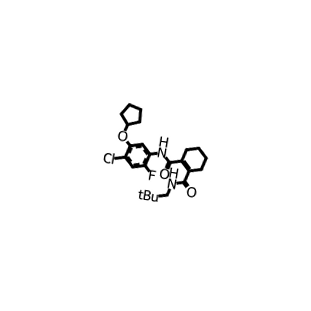 CC(C)(C)CNC(=O)C1=C(C(=O)Nc2cc(OC3CCCC3)c(Cl)cc2F)CCCC1